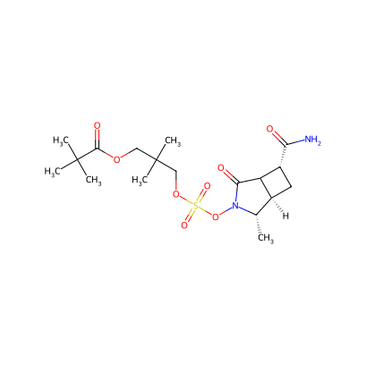 C[C@H]1[C@@H]2C[C@@H](C(N)=O)C2C(=O)N1OS(=O)(=O)OCC(C)(C)COC(=O)C(C)(C)C